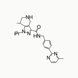 Cc1ccnc(-c2ccc(CNC(=O)c3nn(C(C)C)c4c3CNCC4C)cc2)n1